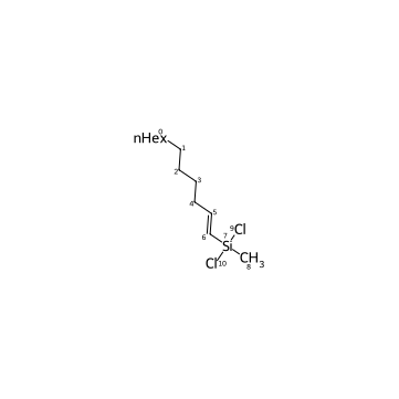 CCCCCCCCCCC=C[Si](C)(Cl)Cl